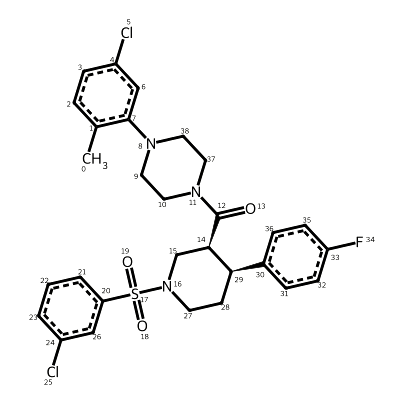 Cc1ccc(Cl)cc1N1CCN(C(=O)[C@@H]2CN(S(=O)(=O)c3cccc(Cl)c3)CC[C@@H]2c2ccc(F)cc2)CC1